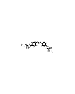 N=C(N)CCc1ccc(CCCc2ccc(CCC(=N)N)cc2)cc1